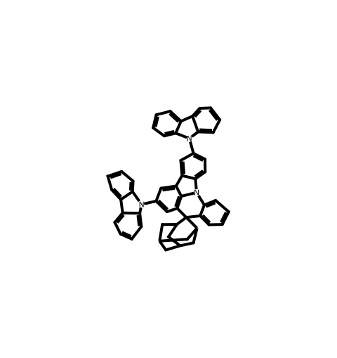 c1ccc2c(c1)-n1c3ccc(-n4c5ccccc5c5ccccc54)cc3c3cc(-n4c5ccccc5c5ccccc54)cc(c31)C21C2CC3CC(C2)CC1C3